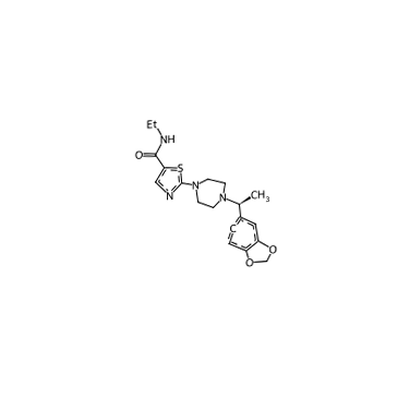 CCNC(=O)c1cnc(N2CCN([C@@H](C)c3ccc4c(c3)OCO4)CC2)s1